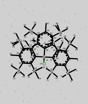 Cc1c([Si](C)(C)C)c([Si](C)(C)C)c([Si](Cl)(c2c([Si](C)(C)C)c([Si](C)(C)C)c(C)c([Si](C)(C)C)c2[Si](C)(C)C)c2c([Si](C)(C)C)c([Si](C)(C)C)c(C)c([Si](C)(C)C)c2[Si](C)(C)C)c([Si](C)(C)C)c1[Si](C)(C)C